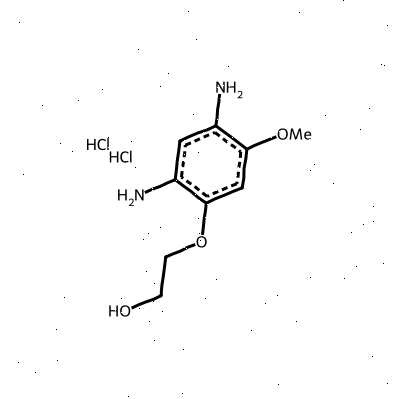 COc1cc(OCCO)c(N)cc1N.Cl.Cl